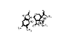 CC(=O)[C@]1(O)[C@@](O)(C(C)=O)[C@H](n2c(=S)[nH]c3cc(C)c(C)cc32)OC[C@]1(O)C(C)=O